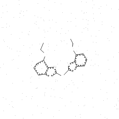 CCOc1cccc2sc(Sc3nc4c(OCC)cccc4s3)nc12